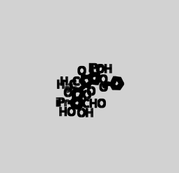 CC1=C(C2=C(C)C(=O)c3c(c(C=O)c(O)c(O)c3C(C)C)C2=O)C(=O)c2cc(OC(=O)c3ccccc3)c(O)c(C(C)C)c2C1=O